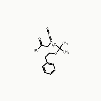 CC(C)(C)OC(Cc1ccccc1)[C@@H](N=C=O)C(=O)O